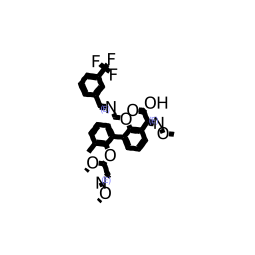 CO/N=C/C(OC)Oc1c(C)cccc1-c1cccc(/C(=N\OC)C(=O)O)c1OC/N=C/c1cccc(C(F)(F)F)c1